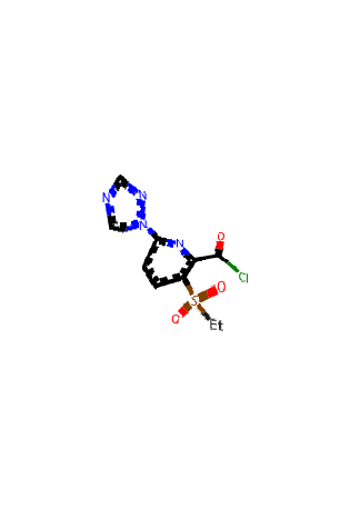 CCS(=O)(=O)c1ccc(-n2cncn2)nc1C(=O)Cl